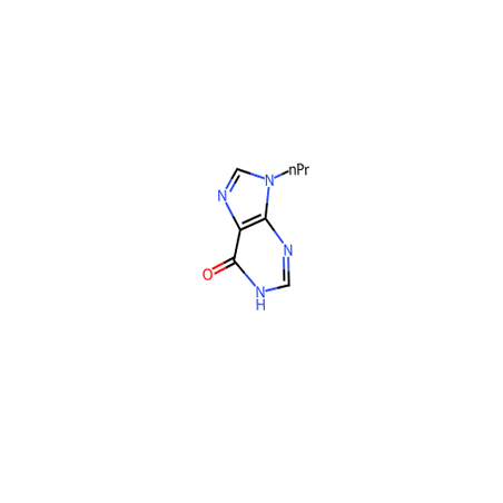 CCCn1cnc2c(=O)[nH]cnc21